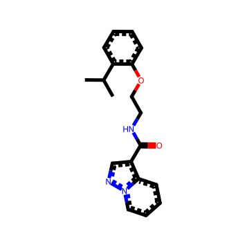 CC(C)c1ccccc1OCCNC(=O)c1cnn2ccccc12